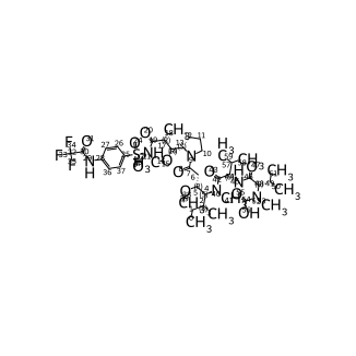 CC[C@H](C)[C@@H]([C@@H](CC(=O)N1CCC[C@H]1[C@H](OC)[C@@H](C)C(=O)NS(=O)(=O)c1ccc(NC(=O)C(F)(F)F)cc1)OC)N(C)C(=O)[C@@H](NC(=O)[C@H](C(C)C)N(C)C(=O)O)C(C)C